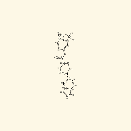 CC(C)(C)c1cc(CC(=O)N2CCN(c3ccc4nncn4n3)CC2)ccc1P